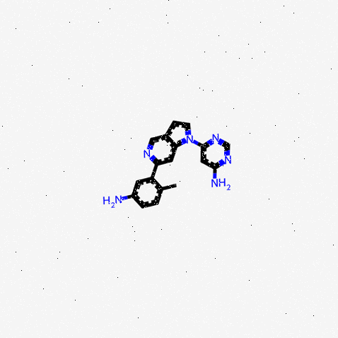 Cc1ccc(N)cc1-c1cc2c(ccn2-c2cc(N)ncn2)cn1